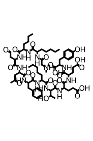 CCCCCC(NC(=O)CNC)C(=O)NC(CCCC)C(=O)NC(CC=O)C(=O)NC(CC(C)=O)C(=O)NC(Cc1ccccc1)C(=O)NC(CCCCC)C(=O)NC(C(=O)NC(CCC(=O)O)C(=O)NC(CCC(=O)O)C(=O)NC(Cc1ccc(O)cc1)C(=O)O)C(C)O